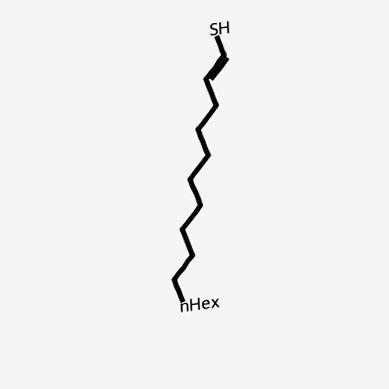 CCCCCCCCCCCCCC/C=C/S